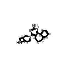 Nc1nc2c(c(N3CCC4NCC4C3)n1)CCCc1ccccc1-2